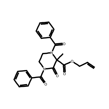 C=CCOC(=O)C1(C)C(=O)N(C(=O)c2ccccc2)CCN1C(=O)c1ccccc1